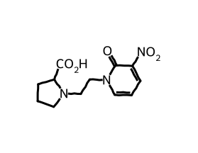 O=C(O)C1CCCN1CCn1cccc([N+](=O)[O-])c1=O